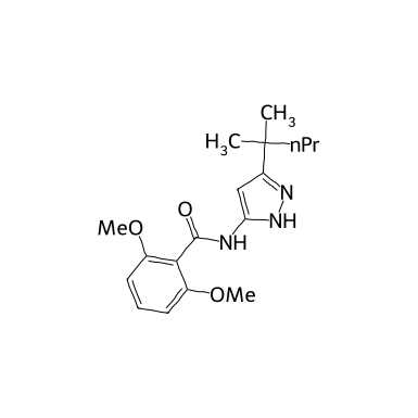 CCCC(C)(C)c1cc(NC(=O)c2c(OC)cccc2OC)[nH]n1